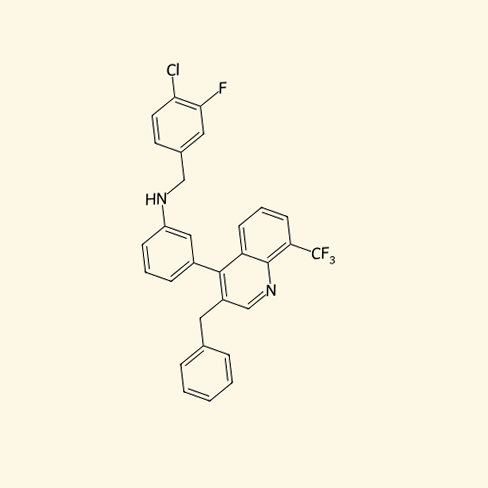 Fc1cc(CNc2cccc(-c3c(Cc4ccccc4)cnc4c(C(F)(F)F)cccc34)c2)ccc1Cl